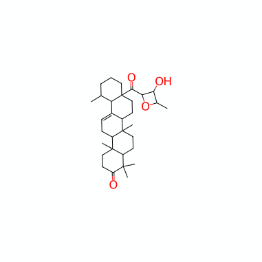 CC1CCCC2(C(=O)C3OC(C)C3O)CCC3C(=CCC4C3(C)CCC3C(C)(C)C(=O)CCC34C)C12